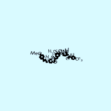 COc1ccc(C=CCN2CCN(C(=O)c3cc4cc(Oc5ccc(NC(=O)c6ccc(C(F)(F)F)cc6)cn5)ccc4n3C)CC2)cc1.CS(=O)(=O)O